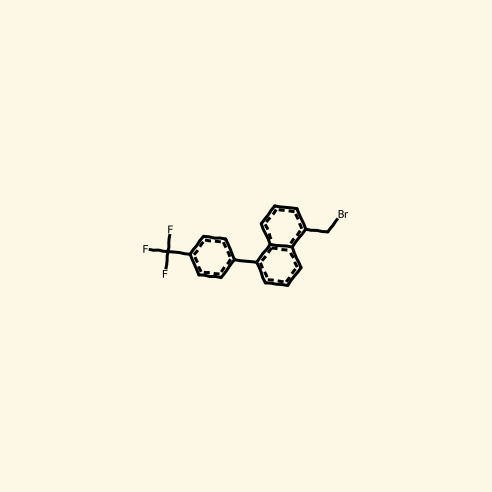 FC(F)(F)c1ccc(-c2cccc3c(CBr)cccc23)cc1